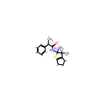 CC(C(=O)NC1(N)SC2=C(CCC2)C1(C)C#N)c1ccccc1